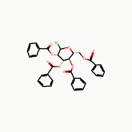 O=C(OC[C@H]1OC(Br)[C@@H](OC(=O)c2ccccc2)[C@@H](OC(=O)c2ccccc2)[C@@H]1OC(=O)c1ccccc1)c1ccccc1